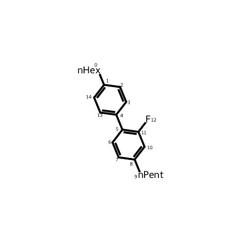 CCCCCCc1ccc(-c2ccc(CCCCC)cc2F)cc1